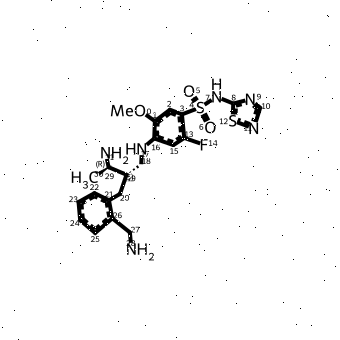 COc1cc(S(=O)(=O)Nc2ncns2)c(F)cc1NC[C@H](Cc1ccccc1CN)[C@@H](C)N